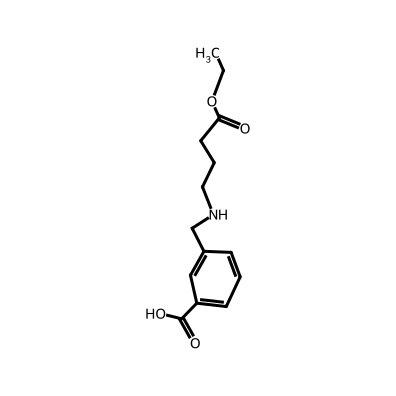 CCOC(=O)CCCNCc1cccc(C(=O)O)c1